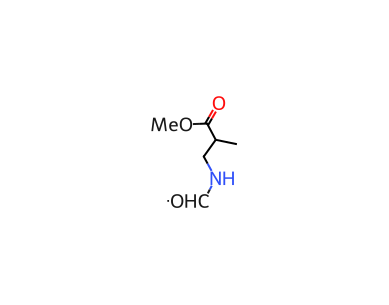 COC(=O)C(C)CN[C]=O